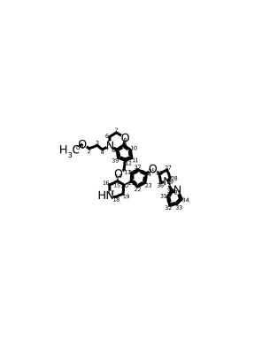 COCCCN1CCOc2ccc(CO[C@H]3CNCC[C@@H]3c3ccc(O[C@H]4CCN(c5ccccn5)C4)cc3)cc21